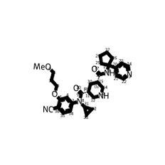 COCCCOc1cc(N(C(=O)[C@H]2CNC[C@@H](C(=O)NC3(c4ccncc4)CCCC3)C2)C2CC2)ccc1C#N